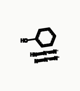 Oc1ccccc1.[N-]=[N+]=N.[N-]=[N+]=[N-]